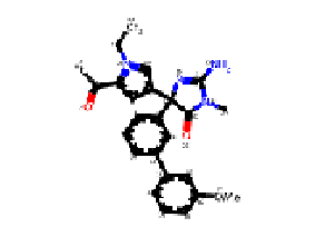 CCC(=O)c1cc(C2(c3cccc(-c4cccc(OC)c4)c3)N=C(N)N(C)C2=O)cn1CC(F)(F)F